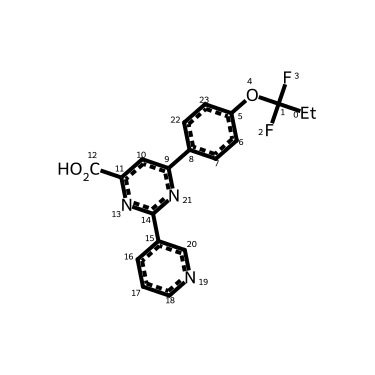 CCC(F)(F)Oc1ccc(-c2cc(C(=O)O)nc(-c3cccnc3)n2)cc1